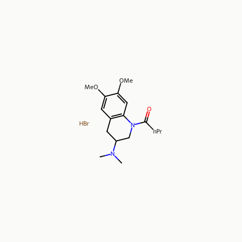 Br.CCCC(=O)N1CC(N(C)C)Cc2cc(OC)c(OC)cc21